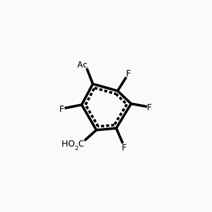 CC(=O)c1c(F)c(F)c(F)c(C(=O)O)c1F